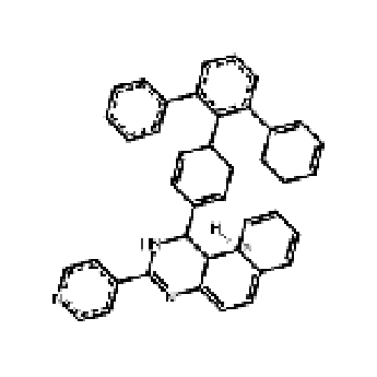 C1=CCCC(c2cccc(-c3ccccc3)c2C2C=CC(C3NC(c4ccncc4)=NC4=CC=C5C=CC=C[C@@H]5C43)=CC2)=C1